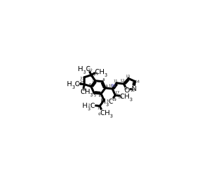 CC(C)Cc1cc2c(cc1/C(=C/c1ccno1)C(C)C)C(C)(C)CC2(C)C